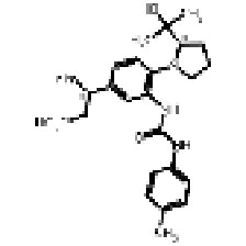 CCC[C@H](CC(=O)O)c1ccc(N2CCC[C@@H]2C(C)(C)O)c(NC(=O)Nc2ccc(C)cc2)c1